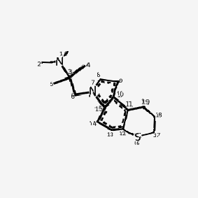 CN(C)C(C)(C)Cn1ccc2c3c(ccc21)SCCC3